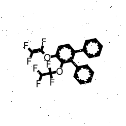 FC(F)=C(F)Oc1ccc(-c2ccccc2)c(-c2ccccc2)c1OC(F)(F)C(F)F